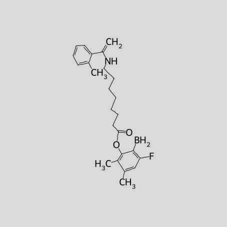 Bc1c(F)cc(C)c(C)c1OC(=O)CCCCCCCNC(=C)c1ccccc1C